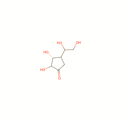 O=C1CC(C(O)CO)[C@@H](O)C1O